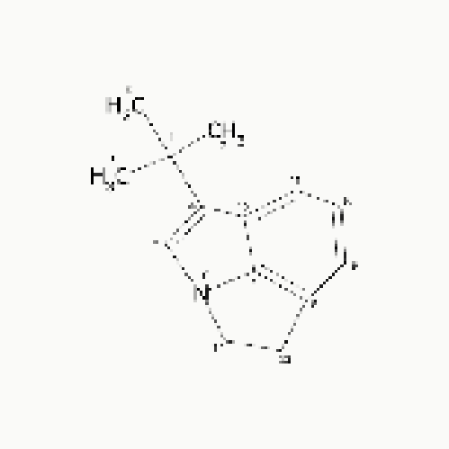 CC(C)(C)c1cn2c3c(cccc13)CC2